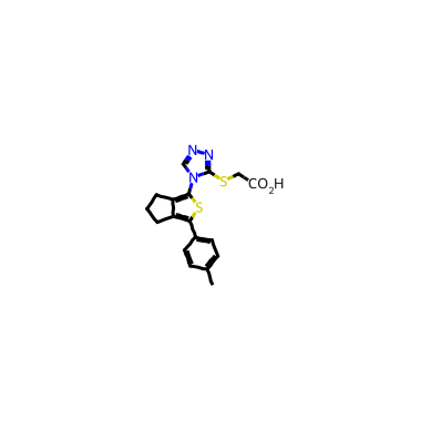 Cc1ccc(-c2sc(-n3cnnc3SCC(=O)O)c3c2CCC3)cc1